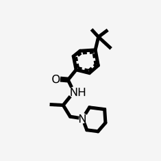 CC(CN1CCCCC1)NC(=O)c1ccc(C(C)(C)C)cc1